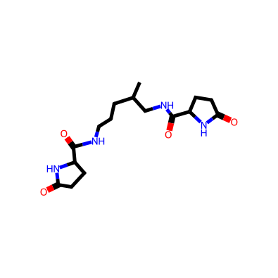 CC(CCCNC(=O)C1CCC(=O)N1)CNC(=O)C1CCC(=O)N1